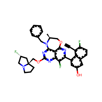 C#Cc1c(F)ccc2cc(O)cc(-c3nc4c5c(nc(OC[C@@]67CCCN6C[C@H](F)C7)nc5c3F)N(Cc3ccccc3)[C@@H](C)CO4)c12